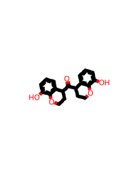 O=C(C1CCOc2c(O)cccc21)C1CCOc2c(O)cccc21